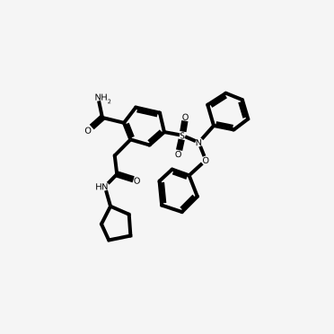 NC(=O)c1ccc(S(=O)(=O)N(Oc2ccccc2)c2ccccc2)cc1CC(=O)NC1CCCC1